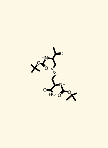 CC(=O)C(CSSCC(NC(=O)OC(C)(C)C)C(=O)O)NC(=O)OC(C)(C)C